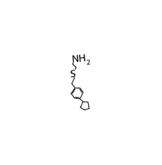 NCCSCCc1ccc(C2CCCC2)cc1